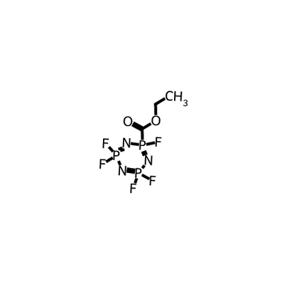 CCOC(=O)P1(F)=NP(F)(F)=NP(F)(F)=N1